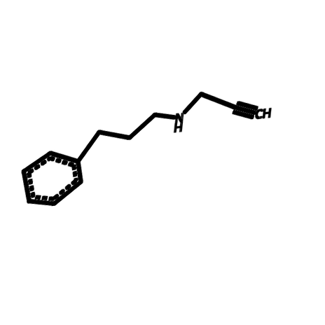 C#CCNCCCc1ccccc1